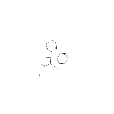 CCOC(=O)C(C(C)(C)C)C(O)(c1ccc(F)cc1)c1ccc(F)cc1